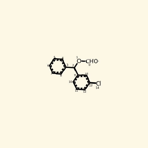 O=[C]OC(c1ccccc1)c1cccc(Cl)c1